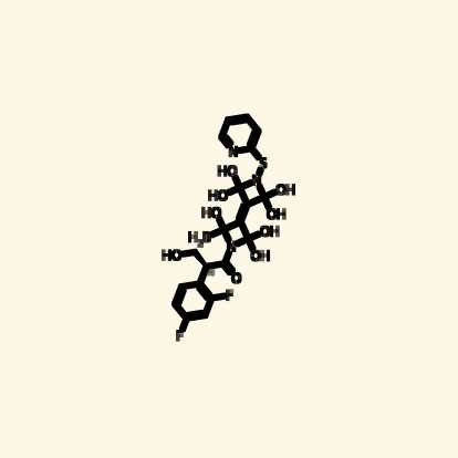 BC1(O)C(=C2C(O)(O)N(Sc3ccccn3)C2(O)O)C(O)(O)N1C(=O)[C@H](CO)c1ccc(F)cc1F